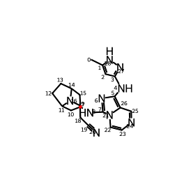 Cc1cc(Nc2nc(NC3CC4CCC(C3)N4CCC#N)n3ccncc23)n[nH]1